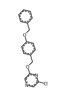 Clc1cncc(OCc2ccc(OCc3ccccc3)cc2)n1